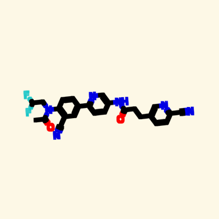 CC(=O)N(CC(F)F)c1ccc(-c2ccc(NC(=O)CCc3ccc(C#N)nc3)cn2)cc1C#N